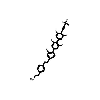 CCCc1ccc(CCc2ccc(-c3cc(F)c(-c4cc(F)c(C#CC(F)(F)F)c(F)c4)c(F)c3)c(F)c2)cc1